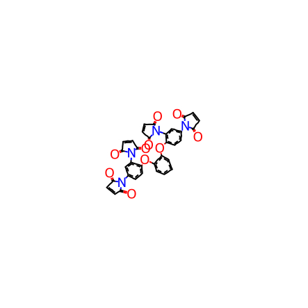 O=C1C=CC(=O)N1c1ccc(Oc2ccccc2Oc2ccc(N3C(=O)C=CC3=O)cc2N2C(=O)C=CC2=O)c(N2C(=O)C=CC2=O)c1